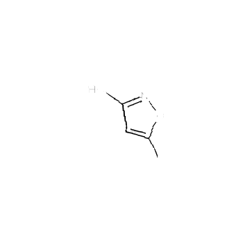 Oc1cc(F)on1